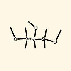 CO[Si](C)(C)[Si](C)(OC)[Si](C)(C)OC